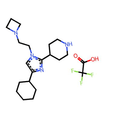 O=C(O)C(F)(F)F.c1c(C2CCCCC2)nc(C2CCNCC2)n1CCN1CCC1